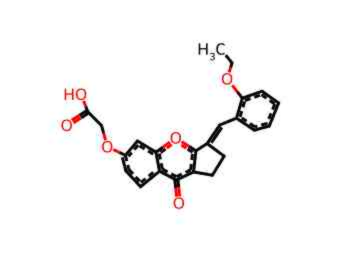 CCOc1ccccc1C=C1CCc2c1oc1cc(OCC(=O)O)ccc1c2=O